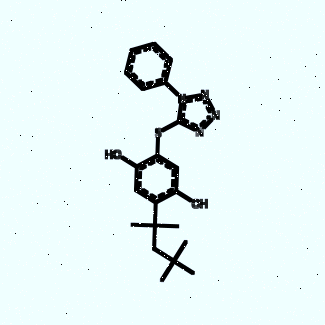 CC(C)(C)CC(C)(C)c1cc(O)c(Sc2nnnn2-c2ccccc2)cc1O